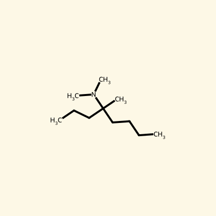 CCCCC(C)(CCC)N(C)C